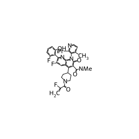 C=C(F)C(=O)N1CCC(c2c(C(=O)NC)c(=O)n(-c3c(C)ccnc3C(C)C)c3nc(-c4c(O)cccc4F)c(F)cc23)CC1